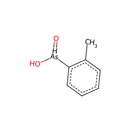 Cc1ccccc1[AsH](=O)O